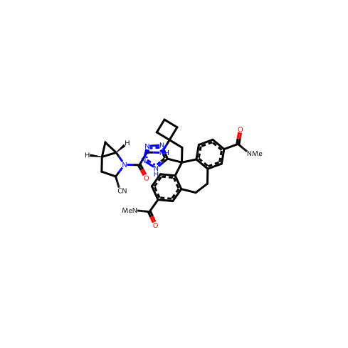 CNC(=O)c1ccc2c(c1)CCc1cc(C(=O)NC)ccc1C2(CC1(NCC(=O)N2C(C#N)C[C@@H]3C[C@@H]32)CCC1)c1nnn[nH]1